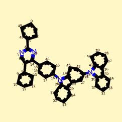 c1ccc(-c2ncc(-c3ccccc3)c(-c3ccc(-n4c5ccccc5c5cc(-n6c7ccccc7c7ccccc76)ccc54)cc3)n2)cc1